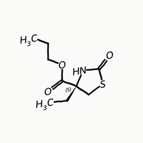 CCCOC(=O)[C@@]1(CC)CSC(=O)N1